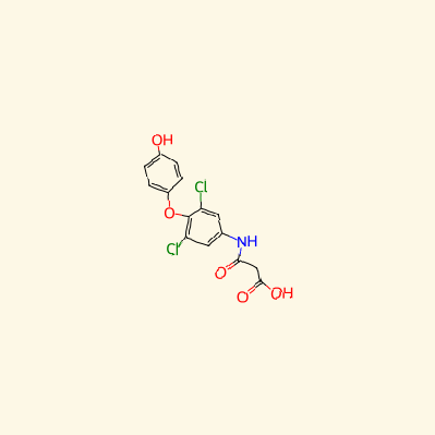 O=C(O)CC(=O)Nc1cc(Cl)c(Oc2ccc(O)cc2)c(Cl)c1